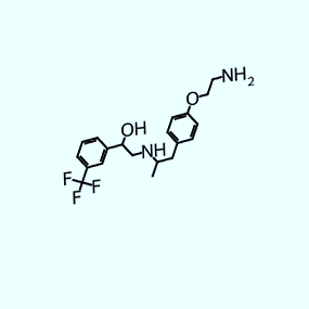 CC(Cc1ccc(OCCN)cc1)NCC(O)c1cccc(C(F)(F)F)c1